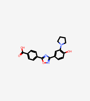 O=C(O)c1ccc(-c2nc(-c3ccc(O)c(N4CCCC4)c3)no2)cc1